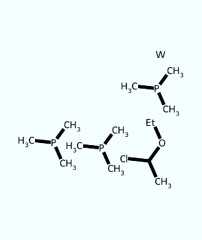 CCOC(C)Cl.CP(C)C.CP(C)C.CP(C)C.[W]